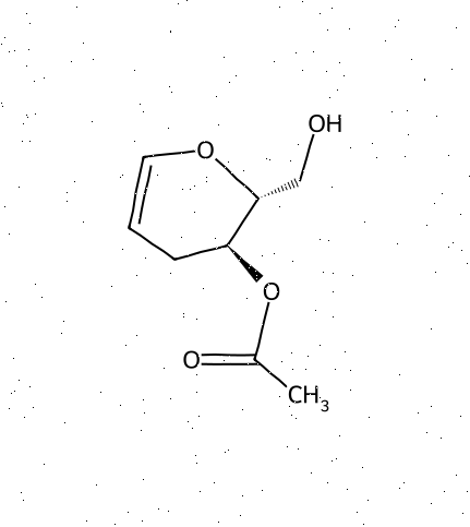 CC(=O)O[C@H]1CC=CO[C@@H]1CO